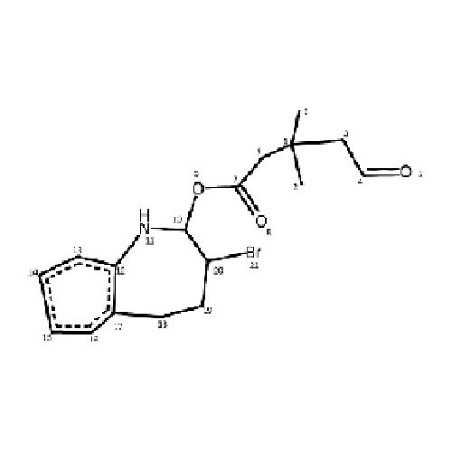 CC(C)(CC=O)CC(=O)OC1Nc2ccccc2CCC1Br